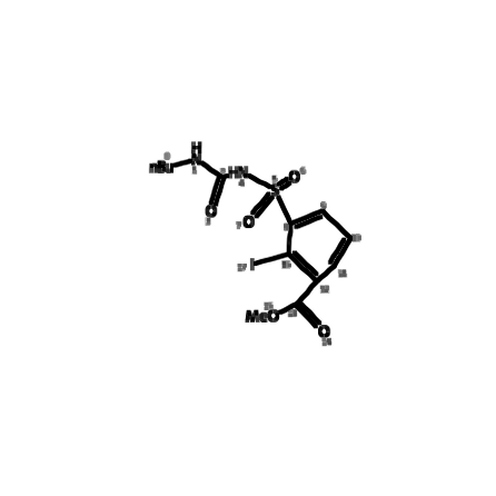 CCCCNC(=O)NS(=O)(=O)c1cccc(C(=O)OC)c1I